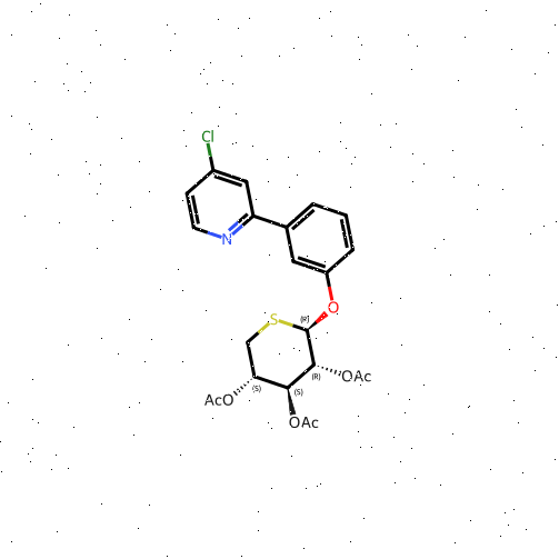 CC(=O)O[C@@H]1[C@@H](OC(C)=O)[C@H](OC(C)=O)CS[C@H]1Oc1cccc(-c2cc(Cl)ccn2)c1